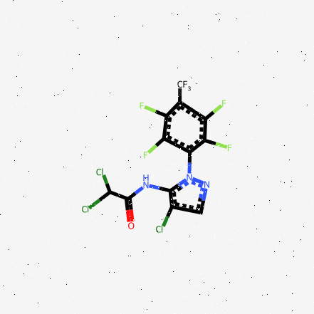 O=C(Nc1c(Cl)cnn1-c1c(F)c(F)c(C(F)(F)F)c(F)c1F)C(Cl)Cl